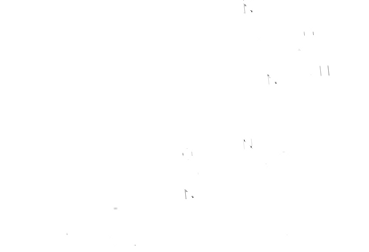 CC(=O)C(c1c[nH]c2ccccc12)N1CCC(N(CCC(=O)NCCc2ccc(Cl)cc2)C(=O)CC2CCCC2)CC1